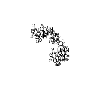 CCC[C@H](NC(=O)[C@@H](NC(=O)OC)[C@H]1C[C@@H](C)O[C@@H](C)C1)c1ncc(-c2ncc(-c3ccc(-c4cnc([C@@H]5CC[C@H](C)N5C(=O)C(NC(=O)OC)[C@H]5C[C@@H](C)O[C@@H](C)C5)[nH]4)cc3)n3cccc23)[nH]1